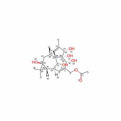 CC(=O)OCC1=C[C@@H]2C(O)[C@]3(C=C(C)[C@H](O)[C@@]3(O)[C@@H]1O)[C@H](C)C[C@]1(O)[C@H]2C1(C)C